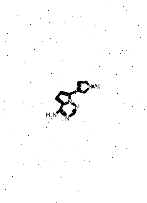 CC(=O)N1CC=C(c2ccc3c(N)ncnn23)C1